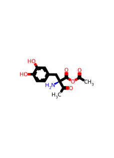 CC(=O)OC(=O)[C@@](N)(Cc1ccc(O)c(O)c1)C(C)=O